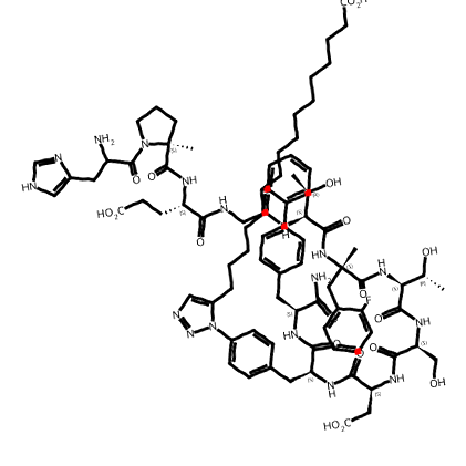 C[C@@H](O)[C@H](NC(=O)CNC(=O)[C@H](CCC(=O)O)NC(=O)[C@]1(C)CCCN1C(=O)C(N)Cc1c[nH]cn1)C(=O)N[C@@](C)(Cc1ccccc1F)C(=O)N[C@H](C(=O)N[C@@H](CO)C(=O)N[C@@H](CC(=O)O)C(=O)N[C@@H](Cc1ccc(-n2nncc2CCCCCCCCCCCCCCCC(=O)O)cc1)C(=O)N[C@@H](Cc1ccc(-c2ccccc2)cc1)C(N)=O)[C@@H](C)O